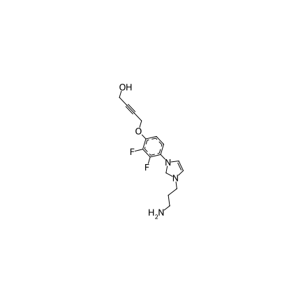 NCCCN1C=CN(c2ccc(OCC#CCO)c(F)c2F)C1